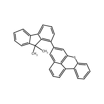 CC1(C)c2ccccc2-c2cccc(-c3cc4c5c(cccc5c3)-c3ccccc3S4)c21